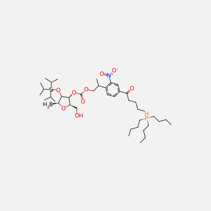 B[C@@H]1O[C@H](CO)[C@H](OC(=O)OCC(C)c2ccc(C(=O)CCCC[PH](CCCC)(CCCC)CCCC)cc2[N+](=O)[O-])C1O[Si](C(C)C)(C(C)C)C(C)C